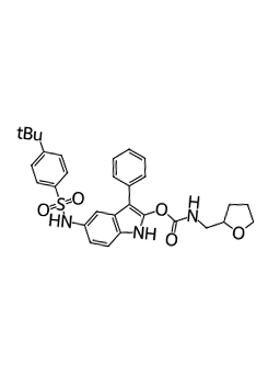 CC(C)(C)c1ccc(S(=O)(=O)Nc2ccc3[nH]c(OC(=O)NCC4CCCO4)c(-c4ccccc4)c3c2)cc1